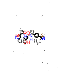 CC[C@H](NC(=O)[C@@H]1C[C@@H](O)CN1C(=O)C(c1cc(C)no1)C(C)C)c1ccc(-c2scnc2C)cc1